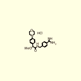 CO[C@H](C(=O)NCc1ccc(C(=N)N)cc1)c1ccc(N2CCOCC2)cc1.Cl